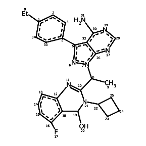 CCc1ccc(-c2nn(C(C)C3=Nc4cccc(F)c4C(O)N3C3CCC3)c3ncnc(N)c23)cc1